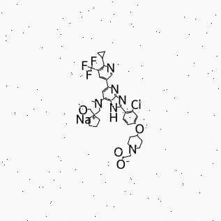 COCC1(CN(C)c2cc(-c3cnc(C4CC4)c(C(F)(F)F)c3)nc3nc(-c4ccc(OC5CCN(CC(=O)[O-])CC5)cc4Cl)[nH]c23)CCCC1.[Na+]